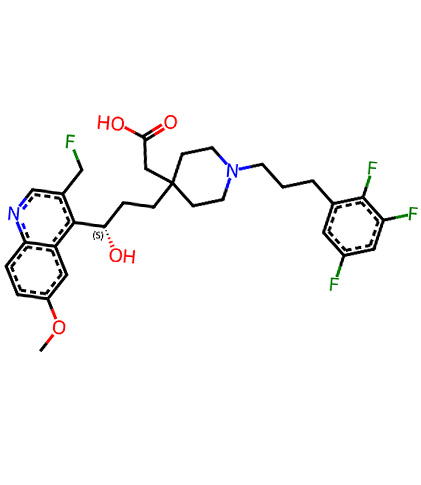 COc1ccc2ncc(CF)c([C@@H](O)CCC3(CC(=O)O)CCN(CCCc4cc(F)cc(F)c4F)CC3)c2c1